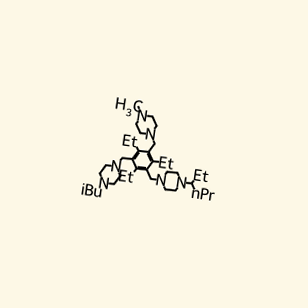 CCCC(CC)N1CCN(Cc2c(CC)c(CN3CCN(C)CC3)c(CC)c(CN3CCN(C(C)CC)CC3)c2CC)CC1